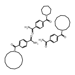 NC(=O)c1ccc(C(=O)N2CCCCCC2)cc1.NC(=O)c1ccc(C(=O)N2CCCCCCCCCC2)cc1.NC(=O)c1ccc(C(=O)N2CCCCCCCCCCCC2)cc1